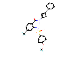 O=C(NC12CC(c3ccccc3)(C1)C2)c1ccc(C(F)(F)F)cc1NS(=O)(=O)c1ccc(OC(F)(F)F)cc1